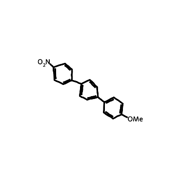 COc1ccc(-c2ccc(-c3ccc([N+](=O)[O-])cc3)cc2)cc1